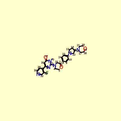 Cn1c(N2CCO[C@@H](c3ccc(N4CC[C@H](N5CCOCC5)C4)cc3)C2)nc(-c2ccncc2F)cc1=O